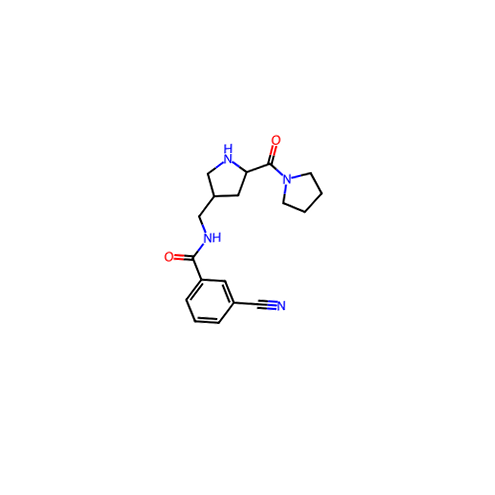 N#Cc1cccc(C(=O)NCC2CNC(C(=O)N3CCCC3)C2)c1